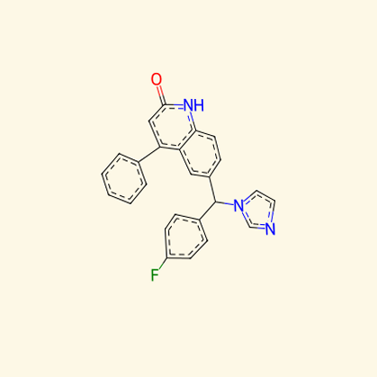 O=c1cc(-c2ccccc2)c2cc(C(c3ccc(F)cc3)n3ccnc3)ccc2[nH]1